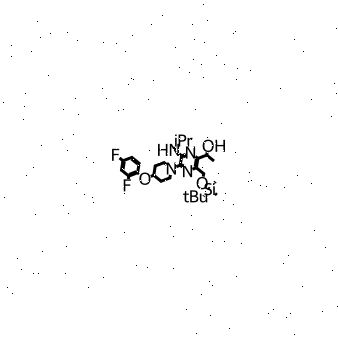 CC(C)Nc1nc(C(C)O)c(CO[Si](C)(C)C(C)(C)C)nc1N1CCC(Oc2ccc(F)cc2F)CC1